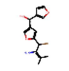 CC(C)=C(N)C(Br)c1cc(C(O)c2ccoc2)co1